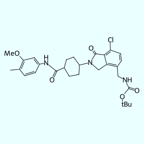 COc1cc(NC(=O)C2CCC(N3Cc4c(CNC(=O)OC(C)(C)C)ccc(Cl)c4C3=O)CC2)ccc1C